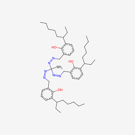 CCCCCC(CC)c1cccc(C/N=N\C([SiH3])(/N=N\Cc2cccc(C(CC)CCCCC)c2O)/N=N\Cc2cccc(C(CC)CCCCC)c2O)c1O